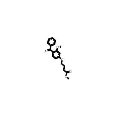 COC(=O)CCCOc1ccc(C(=O)c2ccccc2)c(O)c1